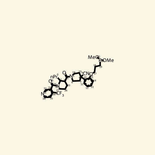 CCCC1C(C(=O)N2CCC(C#N)(c3ccccc3OCCCP(OC)OC)CC2)CCCN1C(=O)c1cnccc1C(F)(F)F